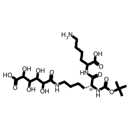 CC(C)(C)OC(=O)N[C@H](CCCCNC(=O)C(O)C(O)C(O)C(O)C(=O)O)C(=O)NC(CCCCN)C(=O)O